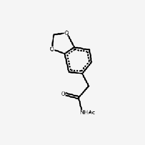 CC(=O)NC(=O)Cc1ccc2c(c1)OCO2